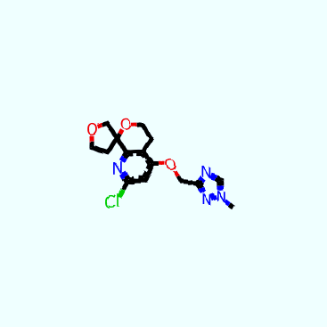 Cn1cnc(COc2cc(Cl)nc3c2CCOC32CCOC2)n1